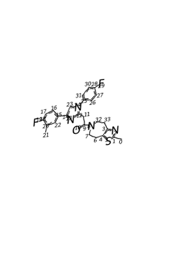 Cc1nc2c(s1)CCN(C(=O)Cc1nc(-c3ccc(F)c(C)c3)cn1-c1ccc(F)cc1)CC2